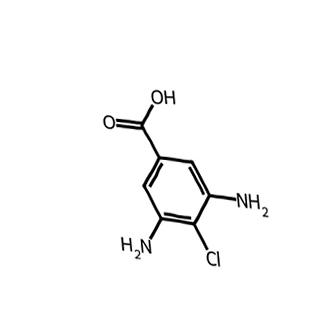 Nc1cc(C(=O)O)cc(N)c1Cl